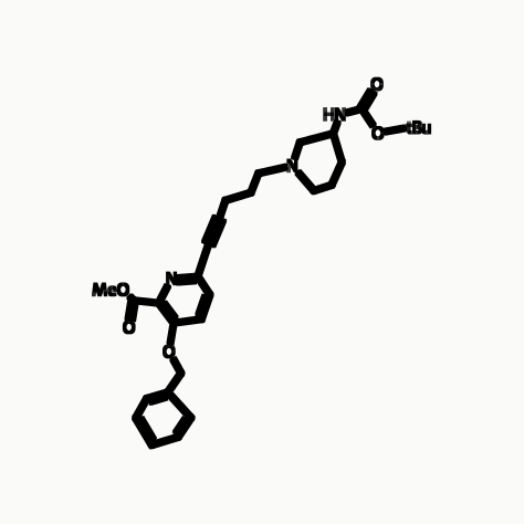 COC(=O)c1nc(C#CCCCN2CCCC(NC(=O)OC(C)(C)C)C2)ccc1OCc1ccccc1